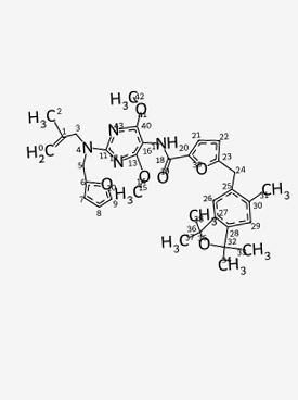 C=C(C)CN(Cc1ccco1)c1nc(OC)c(NC(=O)c2ccc(Cc3cc4c(cc3C)C(C)(C)OC4(C)C)o2)c(OC)n1